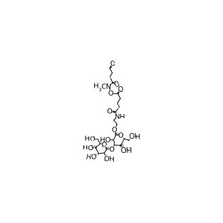 CN(OC(=O)CCCC(=O)NCCO[C@H]1OC(CO)[C@@H](O)C(O[C@H]2OC(CO)[C@@H](O)C(O)C2O)C1O)C(=O)CCC=O